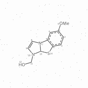 COc1ccc2c(c1)N1C=CN(CO)C1S2